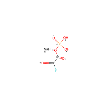 O=C(F)C(=O)OP(=O)(O)O.[NaH]